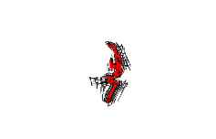 CC(C)=CCC[C@](C)(O[C@@H]1O[C@H](CO[C@@H]2OC[C@@H](O)[C@H](O)[C@H]2O)[C@@H](O)[C@H](O)[C@H]1O)[C@H]1CC[C@]2(C)[C@@H]1[C@H](O)C[C@@H]1[C@@]3(C)CC[C@H](O[C@@H]4O[C@H](CO)[C@@H](O)[C@H](O)[C@H]4O[C@@H]4O[C@H](CO)[C@@H](O)[C@H](O)[C@H]4O[C@@H]4OC[C@@H](O)[C@H](O)[C@H]4O)C(C)(C)[C@@H]3CC[C@]12C